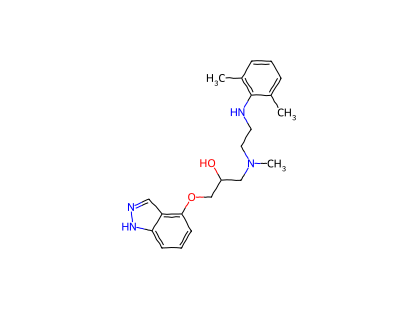 Cc1cccc(C)c1NCCN(C)CC(O)COc1cccc2[nH]ncc12